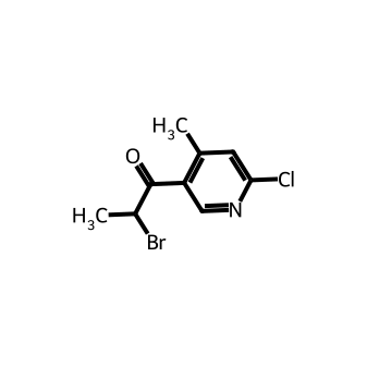 Cc1cc(Cl)ncc1C(=O)C(C)Br